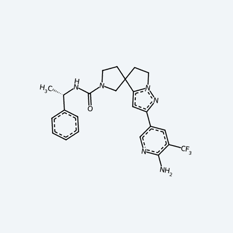 C[C@H](NC(=O)N1CCC2(CCn3nc(-c4cnc(N)c(C(F)(F)F)c4)cc32)C1)c1ccccc1